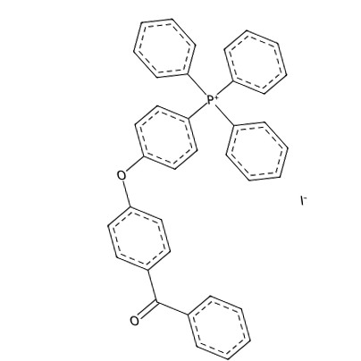 O=C(c1ccccc1)c1ccc(Oc2ccc([P+](c3ccccc3)(c3ccccc3)c3ccccc3)cc2)cc1.[I-]